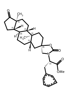 COC(=O)[C@H](Cc1ccccc1)N1C[C@]2(CC[C@@]3(C)[C@@H](CC[C@@H]4[C@@H]3CC[C@]3(C)C(=O)CC[C@@H]43)C2)OC1=O